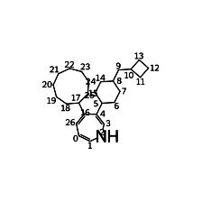 C1=CNC=C(C2CCC(CC3CCC3)CC2)C(C2CCCCCCCC2)=C1